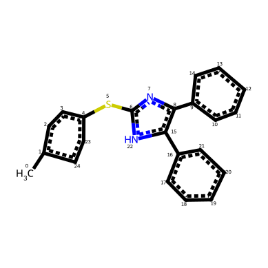 Cc1ccc(Sc2nc(-c3ccccc3)c(-c3ccccc3)[nH]2)cc1